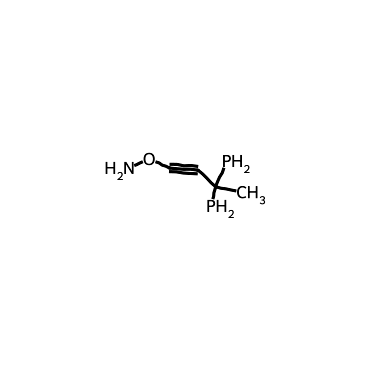 CC(P)(P)C#CON